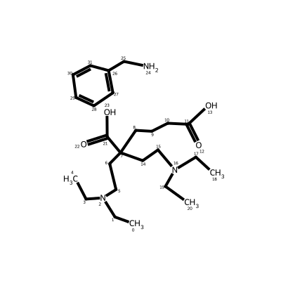 CCN(CC)CCC(CCCC(=O)O)(CCN(CC)CC)C(=O)O.NCc1ccccc1